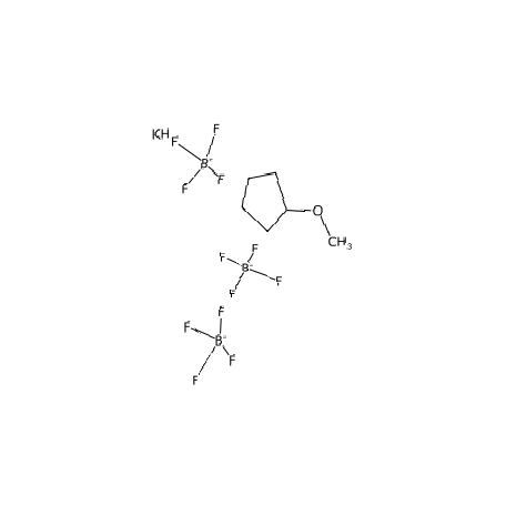 COC1CCCC1.F[B-](F)(F)F.F[B-](F)(F)F.F[B-](F)(F)F.[KH]